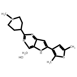 Cc1cc(-c2cc3nc(C4CCN(C)CC4)ncc3[nH]2)c(C)s1.Cl.O